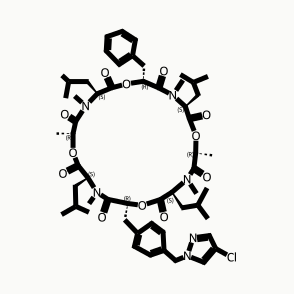 CC(C)C[C@H]1C(=O)O[C@H](Cc2ccc(Cn3cc(Cl)cn3)cc2)C(=O)N(C)[C@@H](CC(C)C)C(=O)O[C@H](C)C(=O)N(C)[C@@H](CC(C)C)C(=O)O[C@H](Cc2ccccc2)C(=O)N(C)[C@@H](CC(C)C)C(=O)O[C@H](C)C(=O)N1C